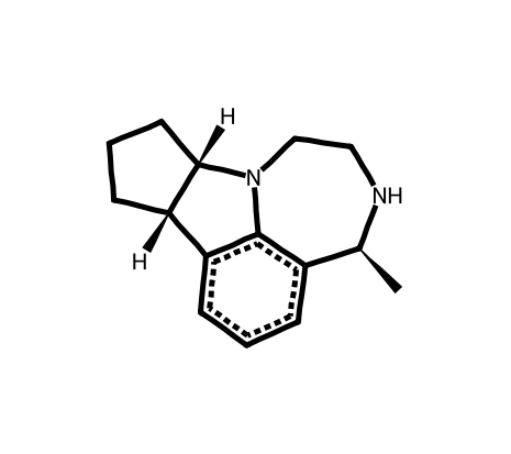 C[C@@H]1NCCN2c3c1cccc3[C@@H]1CCC[C@@H]12